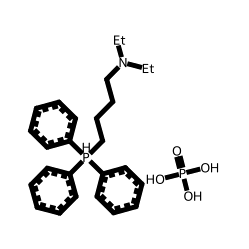 CCN(CC)CCCC[PH](c1ccccc1)(c1ccccc1)c1ccccc1.O=P(O)(O)O